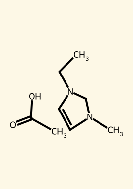 CC(=O)O.CCN1C=CN(C)C1